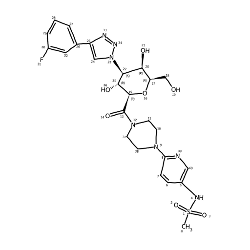 CS(=O)(=O)Nc1ccc(N2CCN(C(=O)[C@@H]3O[C@H](CO)[C@H](O)[C@H](n4cc(-c5cccc(F)c5)nn4)[C@H]3O)CC2)nc1